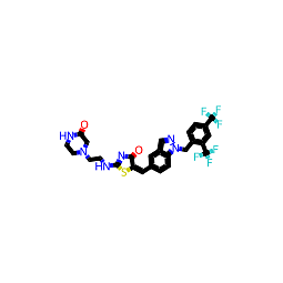 O=C1CN(CCNC2=NC(=O)C(=Cc3ccc4c(cnn4Cc4ccc(C(F)(F)F)cc4C(F)(F)F)c3)S2)CCN1